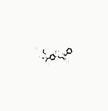 CCCCN1C(=O)OC(=O)C1c1ccc(OCc2nc(-c3ccccc3)oc2C)c(OC)c1